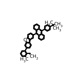 C=Cc1c(C)cccc1-c1ccc2c(c1)oc1ccc(-c3c4ccccc4c(-c4ccc(C(C)(C)C)cc4)c4ccccc34)cc12